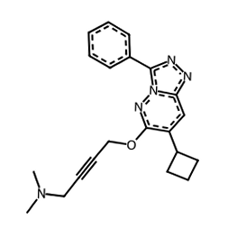 CN(C)CC#CCOc1nn2c(-c3ccccc3)nnc2cc1C1CCC1